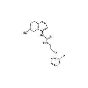 O=C(NCCOc1ccccc1F)Nc1cccc2c1CC(O)CC2